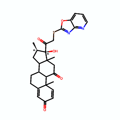 C[C@@H]1CC2C3CCC4=CC(=O)C=CC4(C)C3C(=O)CC2(C)[C@@]1(O)C(=O)CSc1nc2ncccc2o1